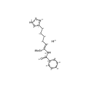 CS/C(=N\CCSCc1c[nH]cn1)NC(=O)c1ccccc1.I